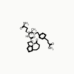 C[C@@H](OCc1ccc(CCC(N)=O)cc1)[C@H](CCC(N)=O)NC(=O)[C@@H]1Cc2cccc3c2N1C(=O)CCC3